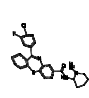 NN1CCCCC1NC(=O)c1ccc2c(c1)N=C(c1ccc(Cl)c(F)c1)c1ccccc1S2